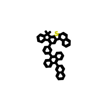 CC1(C)c2ccccc2-c2c(-c3cccc(-c4c5ccccc5c(-c5ccc6ccccc6c5)c5ccccc45)c3)cc3c(sc4ccc5ccccc5c43)c21